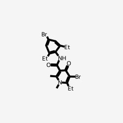 CCc1cc(Br)cc(CC)c1NC(=O)c1c(C)n(C)c(CC)c(Br)c1=O